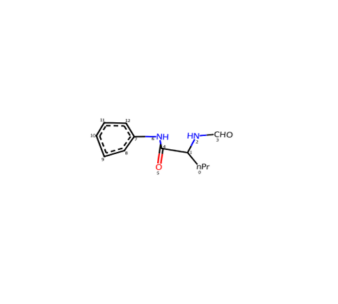 CCCC(NC=O)C(=O)Nc1ccccc1